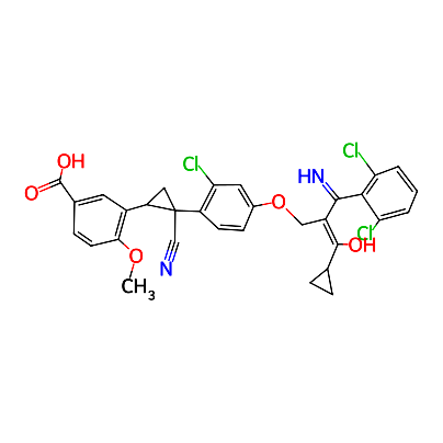 COc1ccc(C(=O)O)cc1C1CC1(C#N)c1ccc(OC/C(C(=N)c2c(Cl)cccc2Cl)=C(/O)C2CC2)cc1Cl